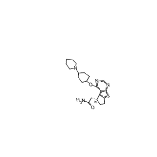 NC(=O)C[C@H]1CCc2sc3ncnc(OC4CCC(N5CCCCC5)CC4)c3c21